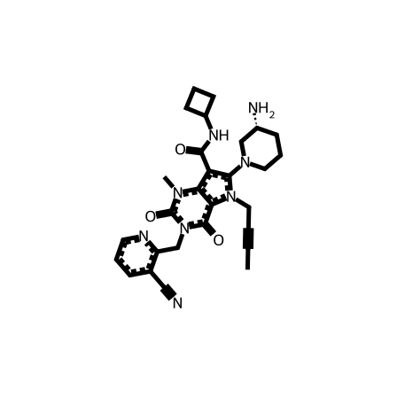 CC#CCn1c(N2CCC[C@@H](N)C2)c(C(=O)NC2CCC2)c2c1c(=O)n(Cc1ncccc1C#N)c(=O)n2C